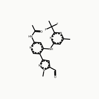 CC(=O)Nc1cc(Nc2cc(C)nc(C(C)(F)F)n2)c(-c2cc(C=O)n(C)n2)cn1